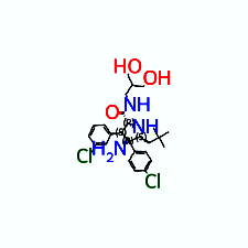 CC(C)(C)C[C@@H]1N[C@@H](C(=O)NCC(CO)CO)[C@H](c2cccc(Cl)c2)[C@@]1(N)c1ccc(Cl)cc1